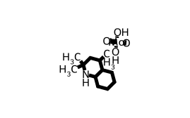 CC1CC(C)(C)NC2CCCCC12.[O]=[Mo](=[O])([OH])[OH]